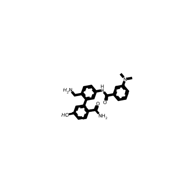 CN(C)c1cccc(C(=O)Nc2ccc(CN)c(-c3cc(O)ccc3C(N)=O)c2)c1